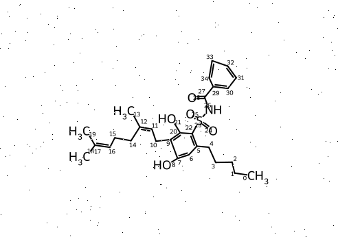 CCCCCc1cc(O)c(CC=C(C)CCC=C(C)C)c(O)c1S(=O)(=O)NC(=O)c1ccccc1